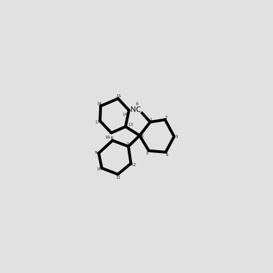 N#CC1CCCCC1(C1CCCCC1)C1CCCCC1